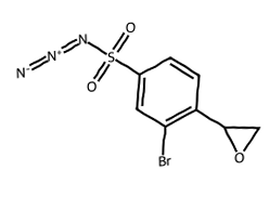 [N-]=[N+]=NS(=O)(=O)c1ccc(C2CO2)c(Br)c1